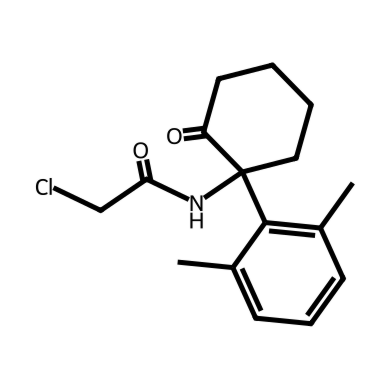 Cc1cccc(C)c1C1(NC(=O)CCl)CCCCC1=O